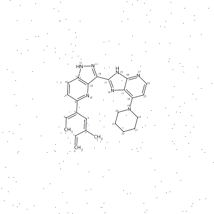 C=C/C(C)=C\C(=C/C)c1ccc2[nH]nc(-c3nc4c(N5CCCCC5)ccnc4[nH]3)c2n1